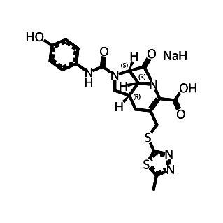 Cc1nnc(SCC2=C(C(=O)O)N3C(=O)[C@@H]4[C@H]3[C@H](C2)CN4C(=O)Nc2ccc(O)cc2)s1.[NaH]